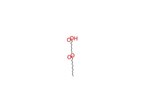 CCCCCCCCCCCC(=O)OCCCCCCCCC(=O)O